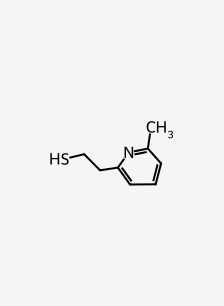 Cc1cccc(CCS)n1